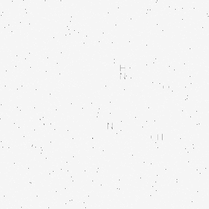 Cc1nc(C#N)c[nH]c1=O